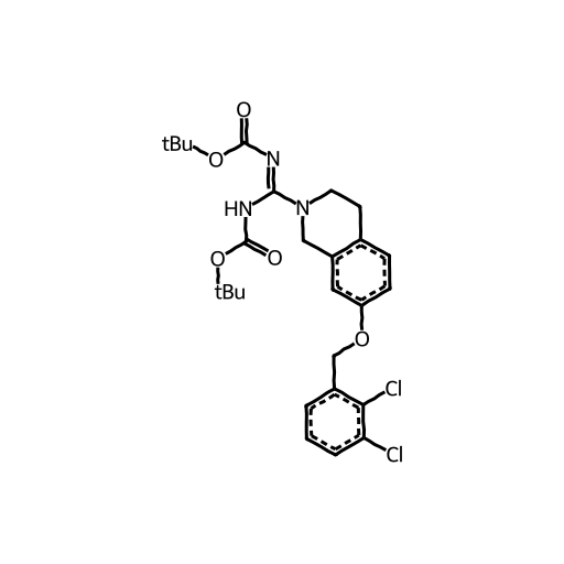 CC(C)(C)OC(=O)N=C(NC(=O)OC(C)(C)C)N1CCc2ccc(OCc3cccc(Cl)c3Cl)cc2C1